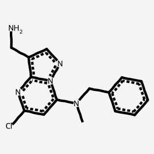 CN(Cc1ccccc1)c1cc(Cl)nc2c(CN)cnn12